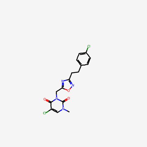 Cn1cc(Cl)c(=O)n(Cc2nc(CCc3ccc(Cl)cc3)no2)c1=O